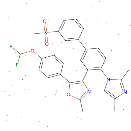 Cc1cn(-c2ccc(-c3cccc(S(C)(=O)=O)c3)cc2-c2nc(C)oc2-c2ccc(OC(F)F)cc2)c(C)n1